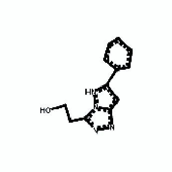 OCCc1nnc2cc(-c3ccccc3)[nH]n12